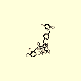 COCC1(OS(C)(=O)=O)N=NC(Cc2ccc(Cn3cc(F)ccc3=O)cc2)=C1C(=O)NCc1nccc(OC)c1F